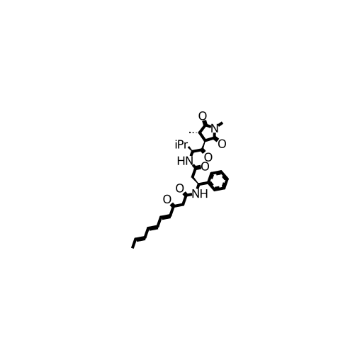 C/C=C/C=C/C=C/C(=O)CC(=O)N[C@@H](CC(=O)N[C@H](C(=O)[C@@H]1C(=O)N(C)C(=O)[C@H]1C)C(C)C)c1ccccc1